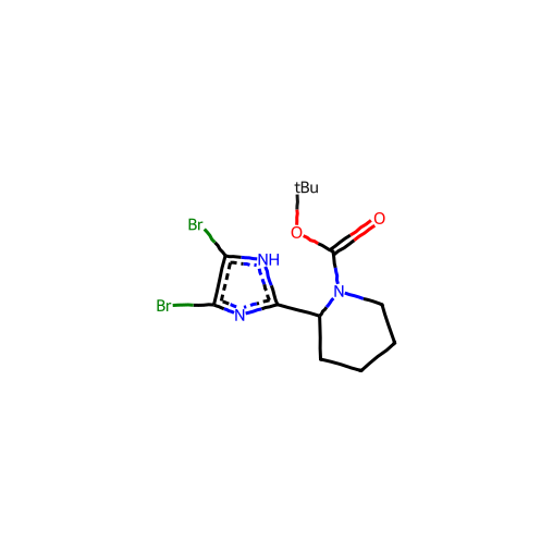 CC(C)(C)OC(=O)N1CCCCC1c1nc(Br)c(Br)[nH]1